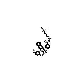 CCOC(=O)CCCN=[N+]=NC(=O)c1cccc(N(c2nc3ccccc3nc2Nc2cc(OC)ccc2Cl)[SH](=O)=O)c1